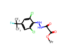 CC(C)OC(=O)C(=O)NNc1c(Cl)cc(C(F)(C(F)(F)F)C(F)(F)F)cc1Cl